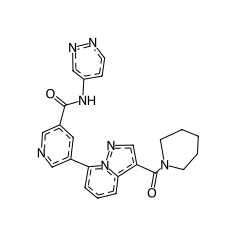 O=C(Nc1ccnnc1)c1cncc(-c2cccc3c(C(=O)N4CCCCC4)cnn23)c1